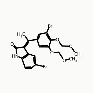 COCOc1cc(/C(C)=C2/C(=O)Nc3ccc(Br)cc32)cc(Br)c1OCOC